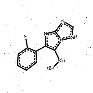 CC(C)(C)Nc1c(-c2ccccc2F)nc2nc[nH]n12